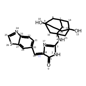 O=C1NC(NC23CC4CC(O)(CC(O)(C4)C2)C3)=N/C1=C\c1ccc2ncsc2c1